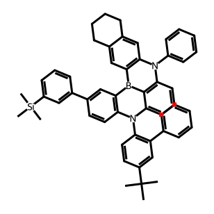 CC(C)(C)c1ccc(N2c3ccc(-c4cccc([Si](C)(C)C)c4)cc3B3c4cc5c(cc4N(c4ccccc4)c4cccc2c43)CCCC5)c(-c2ccccc2)c1